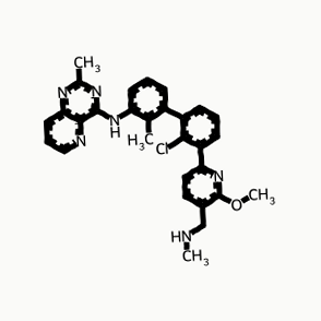 CNCc1ccc(-c2cccc(-c3cccc(Nc4nc(C)nc5cccnc45)c3C)c2Cl)nc1OC